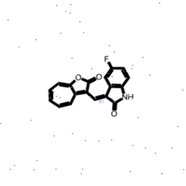 O=C1Nc2ccc(F)cc2/C1=C\c1c2cccccc-2oc1=O